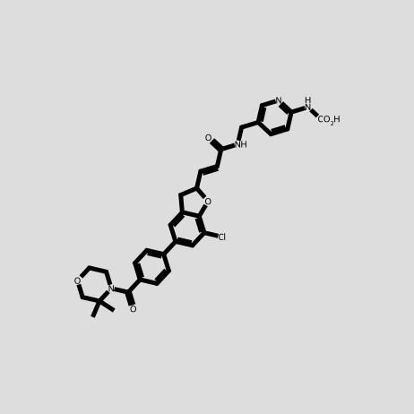 CC1(C)COCCN1C(=O)c1ccc(-c2cc(Cl)c3c(c2)CC(C=CC(=O)NCc2ccc(NC(=O)O)nc2)O3)cc1